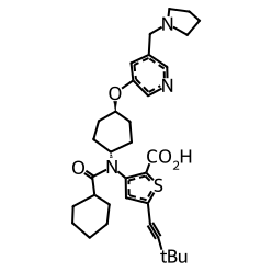 CC(C)(C)C#Cc1cc(N(C(=O)C2CCCCC2)[C@H]2CC[C@H](Oc3cncc(CN4CCCC4)c3)CC2)c(C(=O)O)s1